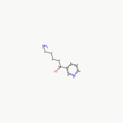 NCCCCC(=O)c1cccnc1